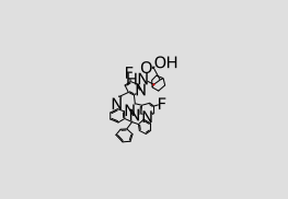 N#Cc1cc(F)c(NC2C3CCC(CC3)C2C(=O)O)nc1-c1nn(C(c2ccccc2)(c2ccccc2)c2ccccc2)c2ncc(F)cc12